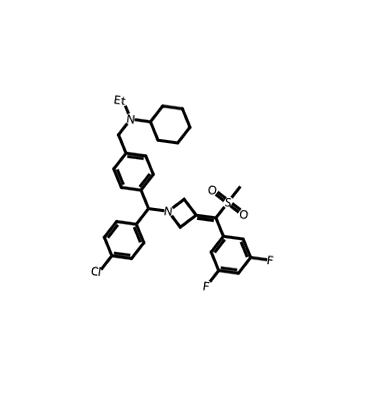 CCN(Cc1ccc(C(c2ccc(Cl)cc2)N2CC(=C(c3cc(F)cc(F)c3)S(C)(=O)=O)C2)cc1)C1CCCCC1